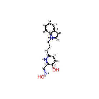 O/N=C/c1nc(CCCn2ccc3ccccc32)ccc1O